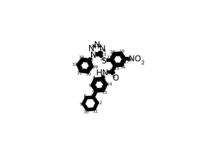 O=C(Nc1ccc(C2CCCCC2)cc1)c1cc([N+](=O)[O-])ccc1Sc1nnnn1-c1ccccc1